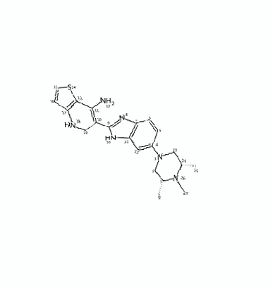 C[C@@H]1CN(c2ccc3nc(C4=C(N)c5sccc5NC4)[nH]c3c2)C[C@H](C)N1C